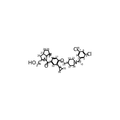 C[C@@H](c1cc(Cl)cc(Cl)c1)N1CCC(COc2cc(F)c(C(=O)N3C(C(=O)O)CC4CCCC43)cc2C2CC2)CC1